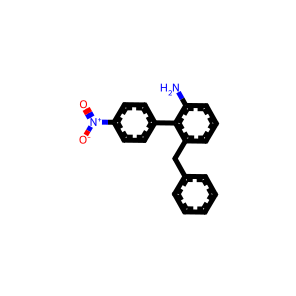 Nc1cccc(Cc2ccccc2)c1-c1ccc([N+](=O)[O-])cc1